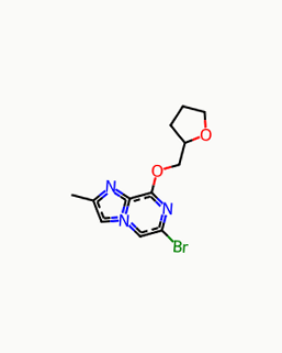 Cc1cn2cc(Br)nc(OCC3CCCO3)c2n1